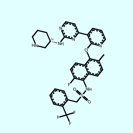 Cc1ccc2c(NS(=O)(=O)Cc3ccccc3C(F)(F)F)c(F)ccc2c1Oc1ncccc1-c1ccnc(N[C@H]2CCCNC2)n1